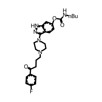 CCCCNC(=O)Oc1ccc2c(N3CCN(CCCC(=O)c4ccc(F)cc4)CC3)n[nH]c2c1